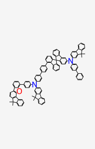 CC1(C)c2ccccc2-c2ccc(N(c3ccc(-c4ccc(-c5cccc6c5-c5ccccc5C65c6ccccc6-c6cc(N(c7ccc(-c8ccccc8)cc7)c7ccc8c(c7)C(C)(C)c7ccccc7-8)ccc65)cc4)cc3)c3ccc(-c4cccc5c4oc4c6c(ccc45)C(C)(C)c4ccccc4-6)cc3)cc21